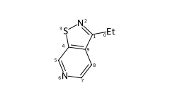 CCc1nsc2cnccc12